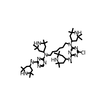 CN(c1ncnc(N(CCCCCCN(c2nc(Cl)nc(N(C)C3CC(C)(C)NC(C)(C)C3)n2)C2CC(C)(C)NC(C)(C)C2)C2CC(C)(C)NC(C)(C)C2)n1)C1CC(C)(C)NC(C)(C)C1